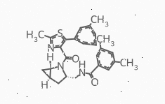 Cc1cc(C)cc(C(=O)NC[C@@H]2C[C@H]3C[C@@H]3N2C(=O)c2nc(C)sc2-c2cccc(C)c2)c1